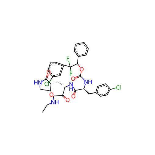 CCNC(=O)C(=O)[C@H](C[C@@H]1CCNC1=O)NC(=O)[C@H](Cc1ccc(Cl)cc1)NC(=O)OC(c1ccccc1)C(F)(F)c1cccc(Cl)c1